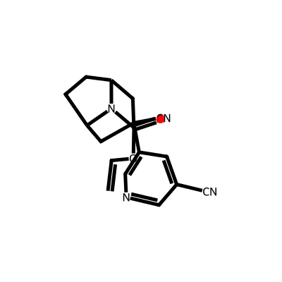 C=COC(=O)N1C2CCC1CC(C#N)(c1cncc(C#N)c1)C2